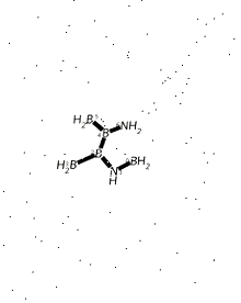 BNB(B)B(B)N